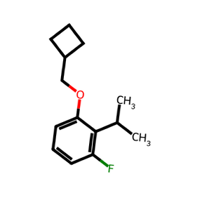 CC(C)c1c(F)cccc1OCC1CCC1